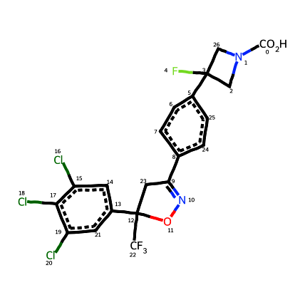 O=C(O)N1CC(F)(c2ccc(C3=NOC(c4cc(Cl)c(Cl)c(Cl)c4)(C(F)(F)F)C3)cc2)C1